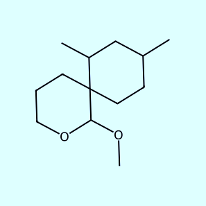 COC1OCCCC12CCC(C)CC2C